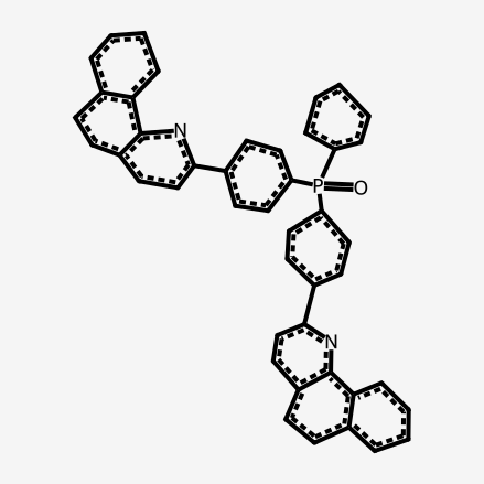 O=P(c1ccccc1)(c1ccc(-c2ccc3ccc4ccccc4c3n2)cc1)c1ccc(-c2ccc3ccc4ccccc4c3n2)cc1